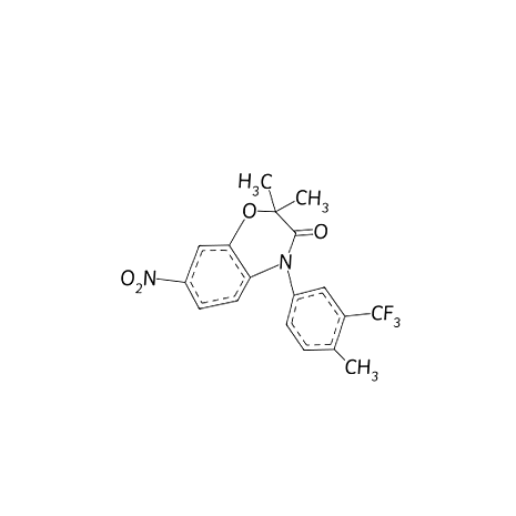 Cc1ccc(N2C(=O)C(C)(C)Oc3cc([N+](=O)[O-])ccc32)cc1C(F)(F)F